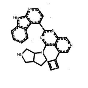 C1=CC(c2cncc3nc(-c4ccnc5[nH]c6ccccc6c45)nc(N4CCC5CNCC54)c23)=C1